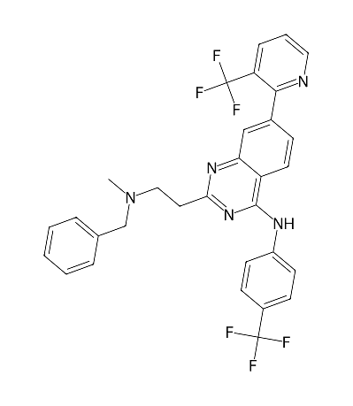 CN(CCc1nc(Nc2ccc(C(F)(F)F)cc2)c2ccc(-c3ncccc3C(F)(F)F)cc2n1)Cc1ccccc1